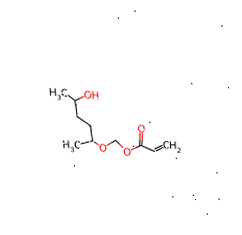 C=CC(=O)OCOC(C)CCC(C)O